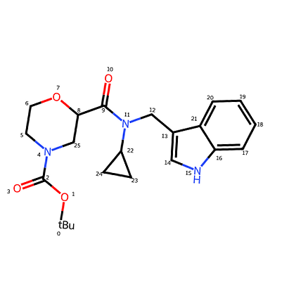 CC(C)(C)OC(=O)N1CCOC(C(=O)N(Cc2c[nH]c3ccccc23)C2CC2)C1